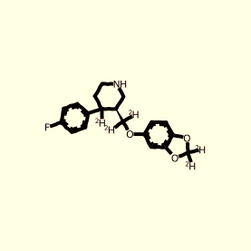 [2H]C1([2H])Oc2ccc(OC([2H])([2H])[C@@H]3CNCCC3([2H])c3ccc(F)cc3)cc2O1